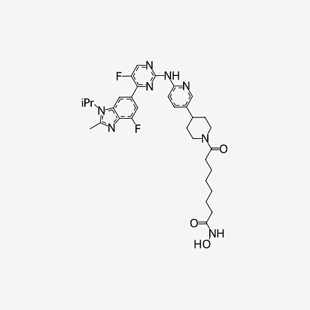 Cc1nc2c(F)cc(-c3nc(Nc4ccc(C5CCN(C(=O)CCCCCCC(=O)NO)CC5)cn4)ncc3F)cc2n1C(C)C